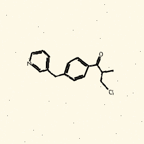 CC(CCl)C(=O)c1ccc(Cc2cccnc2)cc1